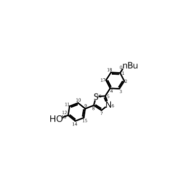 CCCCc1ccc(-c2ncc(-c3ccc(O)cc3)s2)cc1